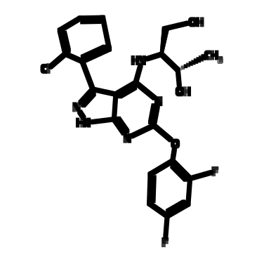 C[C@H](O)[C@H](CO)Nc1nc(Oc2ccc(F)cc2F)nc2[nH]nc(-c3ccccc3Cl)c12